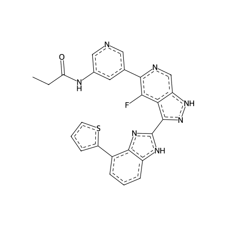 CCC(=O)Nc1cncc(-c2ncc3[nH]nc(-c4nc5c(-c6cccs6)cccc5[nH]4)c3c2F)c1